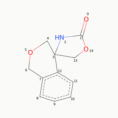 O=C1NC2(COCc3ccccc32)CO1